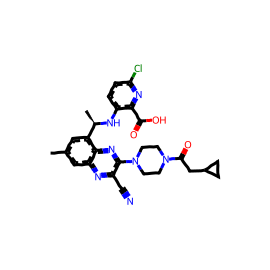 Cc1cc([C@@H](C)Nc2ccc(Cl)nc2C(=O)O)c2nc(N3CCN(C(=O)CC4CC4)CC3)c(C#N)nc2c1